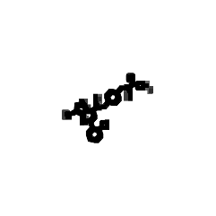 CC(=O)NCc1ccc(CNc2cc(-c3ccccc3Cl)nc3c(Br)cnn23)cc1